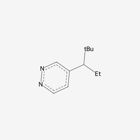 CCC(c1ccnnc1)C(C)(C)C